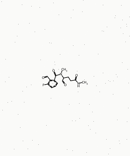 CNC(=O)CCC(C=O)N(C)C(=O)c1cccc(F)c1C=O